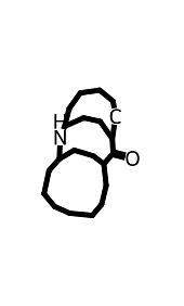 O=C1C2CCCCCCCC(CC2)NC2CCCCCC1CC2